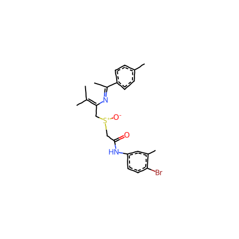 CC(C)=C(C[S+]([O-])CC(=O)Nc1ccc(Br)c(C)c1)/N=C(\C)c1ccc(C)cc1